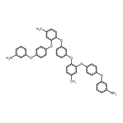 Cc1ccc(Oc2cccc(Oc3ccc(C)cc3Oc3ccc(Oc4cccc(N)c4)cc3)c2)c(Oc2ccc(Oc3cccc(N)c3)cc2)c1